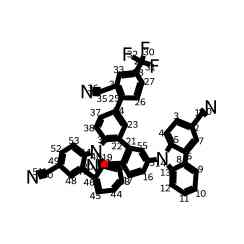 N#Cc1ccc2c(c1)c1ccccc1n2-c1ccc(C#N)c(-c2cc(-c3ccc(C(F)(F)F)cc3C#N)ccc2-n2c3ccccc3c3cc(C#N)ccc32)c1